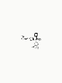 FC1NNc2ccc(/C(=C(/c3ccccc3)C3CCC3)c3ccc(/C=C/c4ncon4)cc3)cc21